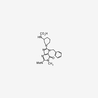 CNc1nc2nc(N3CCCC(NC(=O)O)C3)n(Cc3ccccc3)c2c(=O)n1C